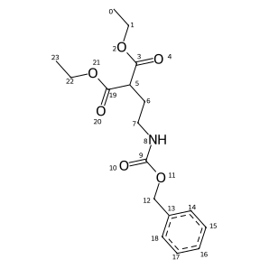 CCOC(=O)C(CCNC(=O)OCc1ccccc1)C(=O)OCC